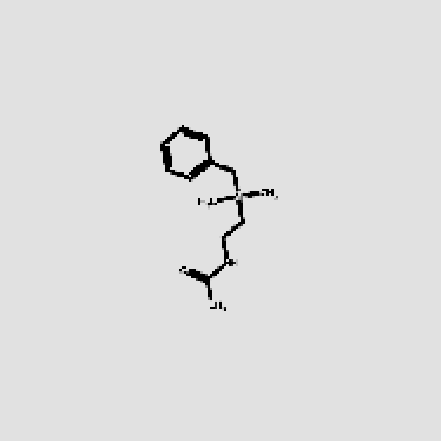 CC(=O)NCC[N+](C)(C)Cc1ccccc1